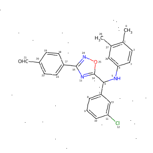 Cc1ccc(NC(c2cccc(Cl)c2)c2nc(-c3ccc(C=O)cc3)no2)cc1C